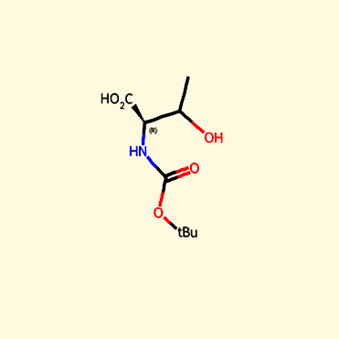 CC(O)[C@@H](NC(=O)OC(C)(C)C)C(=O)O